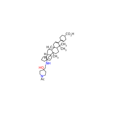 CC(=O)N1CCC(O)(CCNC23CCCC2[C@H]2CCC4C5(C)CC=C(C6=CCC(C(=O)O)CC6)C(C)(C)C5CCC4(C)[C@]2(C)CC3)CC1